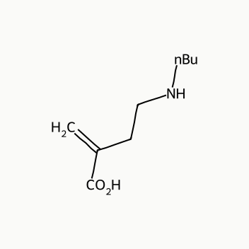 C=C(CCNCCCC)C(=O)O